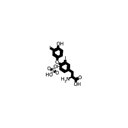 N[C@@H](Cc1ccc(Oc2ccc(O)c(I)c2)c(I)c1)C(=O)O.O=S(=O)(O)O